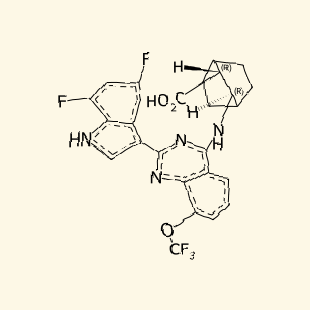 O=C(O)[C@@H]1C2CCC(CC2)[C@H]1Nc1nc(-c2c[nH]c3c(F)cc(F)cc23)nc2c(OC(F)(F)F)cccc12